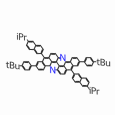 CC(C)c1ccc2cc(-c3c4cc(-c5ccc(C(C)(C)C)cc5)ccc4c4nc5ccc6c(-c7ccc8cc(C(C)C)ccc8c7)c7cc(-c8ccc(C(C)(C)C)cc8)ccc7c7nc8ccc3c4c8c5c67)ccc2c1